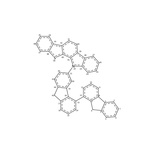 c1ccc2c(c1)Cc1c-2cccc1-c1cccc2c1-c1cc(-n3c4ccccc4c4ccc5c6ccccc6sc5c43)ccc1C2